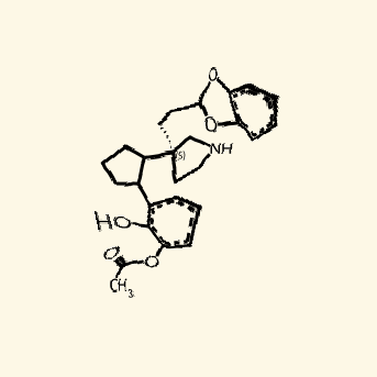 CC(=O)Oc1cccc(C2CCCC2[C@]2(CCC3Oc4ccccc4O3)CCNC2)c1O